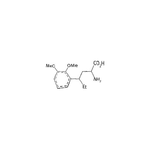 CCC(CC(N)C(=O)O)c1cccc(OC)c1OC